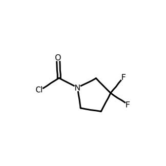 O=C(Cl)N1CCC(F)(F)C1